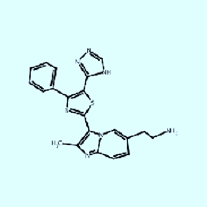 Cc1nc2ccc(CCN)cn2c1-c1nc(-c2ccccc2)c(-c2nnc[nH]2)s1